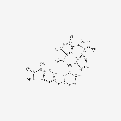 CC(C)c1cc(-c2nnc(O)n2-c2ccc(CC3CCN(Cc4ccc(C(C)N(C)C=O)cc4)CC3)cc2)c(O)cc1O